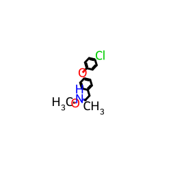 CONC(C)Cc1ccc(Oc2ccc(Cl)cc2)cc1